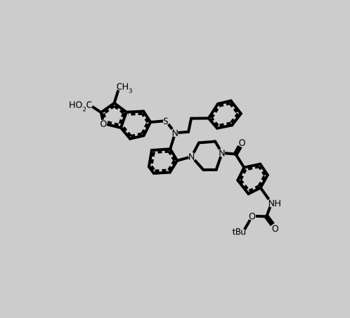 Cc1c(C(=O)O)oc2ccc(SN(CCc3ccccc3)c3ccccc3N3CCN(C(=O)c4ccc(NC(=O)OC(C)(C)C)cc4)CC3)cc12